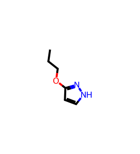 CCCOc1cc[nH]n1